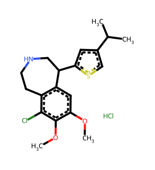 COc1cc2c(c(Cl)c1OC)CCNCC2c1cc(C(C)C)cs1.Cl